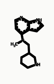 CN(CC1CCCNC1)c1ccnc2[nH]ccc12